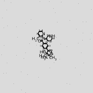 Cc1cccnc1N(C(=O)c1ccc(C2=NOC(C)(C)[C@]2(C)O)cc1)[C@@H]1CCCNC1